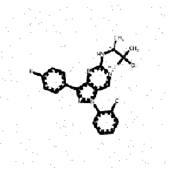 C[C@H](Nc1ncc2c(n1)c(-c1ccc(F)cc1)nn2-c1ccccc1Cl)C(C)(C)O